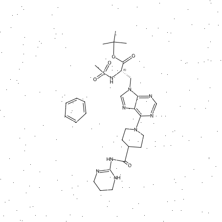 CC(C)(C)OC(=O)[C@H](Cn1cnc2c(N3CCC(C(=O)NC4=NCCCN4)CC3)ncnc21)NS(C)(=O)=O.c1ccccc1